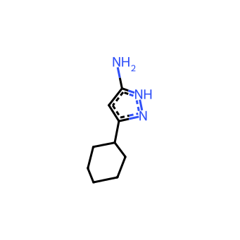 Nc1cc(C2CCCCC2)n[nH]1